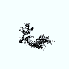 CN[C@@H](Cc1ccc(O)cc1)C(=O)N(C)[C@@H](Cc1ccccc1)C(=O)N1CCC[C@H]1C(=O)N[C@@H](CSCC(=O)N[C@H](Cc1c[nH]c2ccccc12)C(=O)N[C@@H](Cc1ccc(O)cc1)C(=O)N[C@@H](CC(=O)O)C(=O)N(C)CC(=O)NCC(=O)N[C@@H](CC(=O)O)C(=O)N1CCC[C@H]1C(=O)N(C)[C@@H](C)C(=O)N[C@@H](CC(=O)O)C(=O)NC(C(=O)N(C)CC=O)C(C)C)C(=O)NCC(N)=O